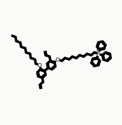 C=CCc1ccc(OCCCCCCCCCCC)c(-c2ccc(OCCCCCCCCCC[PH](c3ccccc3)(c3ccccc3)c3ccccc3)c(CC=C)c2)c1